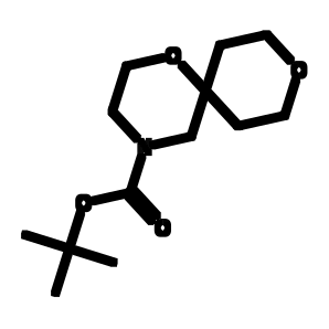 CC(C)(C)OC(=O)N1CCOC2(CCOCC2)C1